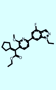 CCOC(=O)C(=C1CCCC1)c1ccc(-c2cc(F)c3cnn(CC)c3c2)nc1OC